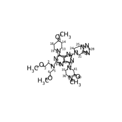 COCCN(CCOC)c1nc(N2CCC(OC)CC2)c2nc(N3CCn4ncnc4C3)nc(N3CCN(C)C(=O)C3)c2n1